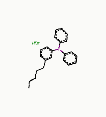 Br.CCCCCc1cccc(P(c2ccccc2)c2ccccc2)c1